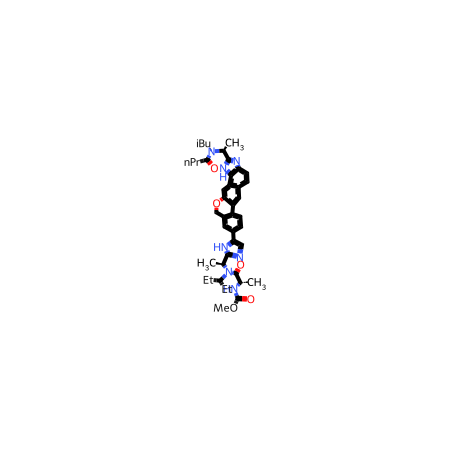 CCCC(=O)N([C@@H](C)CC)[C@@H](C)c1nc2ccc3cc4c(cc3c2[nH]1)OCc1cc(-c2cnc([C@H](C)N(C(=O)[C@H](C)NC(=O)OC)C(CC)CC)[nH]2)ccc1-4